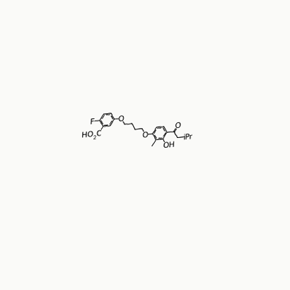 Cc1c(OCCCCOc2ccc(F)c(C(=O)O)c2)ccc(C(=O)CC(C)C)c1O